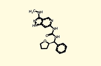 CNc1n[nH]c2cc(NC(=O)NC(c3ccccc3)[C@H]3CCCO3)ncc12